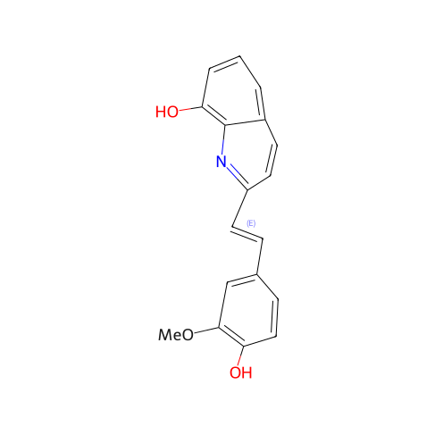 COc1cc(/C=C/c2ccc3cccc(O)c3n2)ccc1O